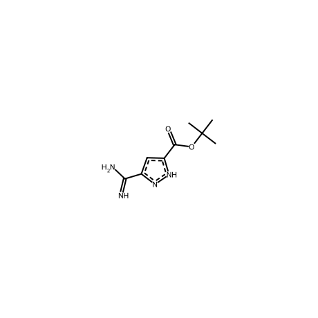 CC(C)(C)OC(=O)c1cc(C(=N)N)n[nH]1